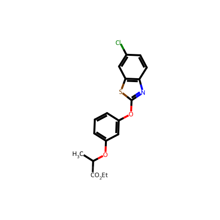 CCOC(=O)C(C)Oc1cccc(Oc2nc3ccc(Cl)cc3s2)c1